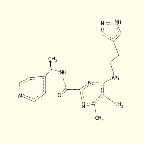 Cc1nc(C(=O)N[C@H](C)c2ccncc2)nc(NCCc2cn[nH]c2)c1C